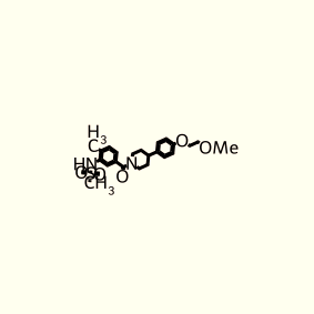 COCCOc1ccc(C2CCN(C(=O)c3ccc(C)c(NS(C)(=O)=O)c3)CC2)cc1